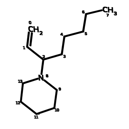 C=CC(CCCCC)N1CC[CH]CC1